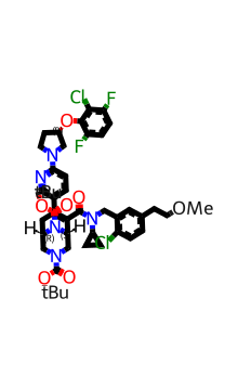 COCCc1ccc(Cl)c(CN(C(=O)C2=C(c3ccc(N4CC[C@@H](Oc5c(F)ccc(F)c5Cl)C4)nc3)C[C@@H]3CN(C(=O)OC(C)(C)C)C[C@H]2N3C(=O)OC(C)(C)C)C2CC2)c1